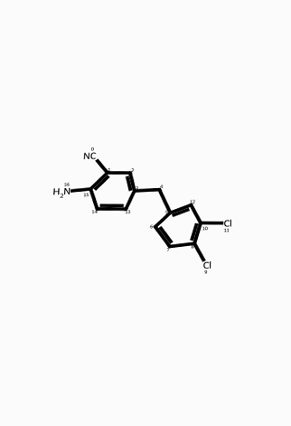 N#Cc1cc(Cc2ccc(Cl)c(Cl)c2)ccc1N